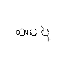 Cc1ccc(F)cc1-c1ccc(N2CCOCC2)cc1